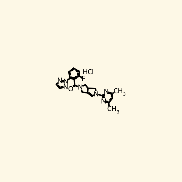 Cc1cc(C)nc(N2C=C3CN(C(=O)c4c(F)cccc4-n4nccn4)CC3C2)n1.Cl